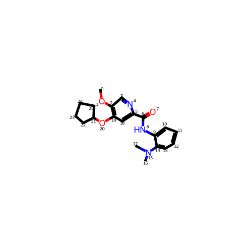 COc1cnc(C(=O)Nc2ccccc2N(C)C)cc1OC1CCCC1